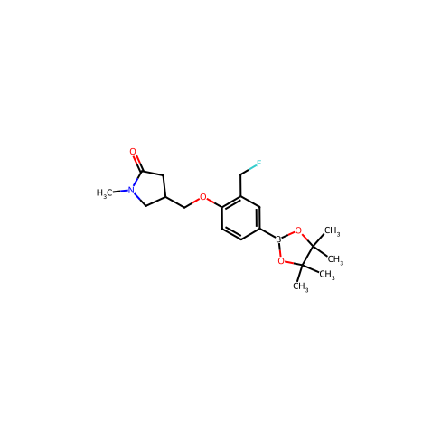 CN1CC(COc2ccc(B3OC(C)(C)C(C)(C)O3)cc2CF)CC1=O